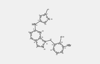 Cn1cc(Nc2ncc3cnn(Cc4cccc(Br)c4F)c3n2)cn1